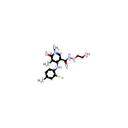 Cc1ccc(Nc2c(C(=O)NOCCO)cn(C)c(=O)c2C)c(F)c1